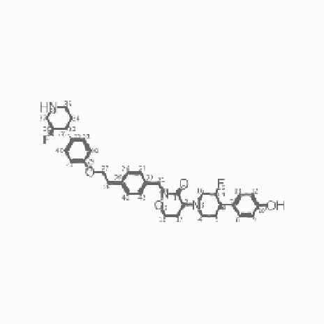 O=C1C(N2CC[C@H](c3ccc(O)cc3)C(F)C2)CCON1Cc1ccc(CCOc2ccc([C@H]3CCNCC3F)cc2)cc1